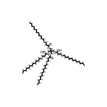 CCCCCCCCCCCCSCCC(=O)OCC(COC(=O)CCSCCCCCCCCCCCC)(COC(O)CCSCCCCCCCCCCCC)COC(O)CCSCCCCCCCCCCCC